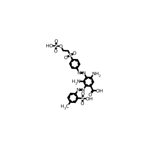 Cc1ccc(N=Nc2c(C(=O)O)cc(N)c(N=Nc3ccc(S(=O)(=O)CCOS(=O)(=O)O)cc3)c2N)c(S(=O)(=O)O)c1